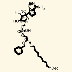 CCCCCCCCCCCCCCCCCCOC[C@@H](COP(=O)(O)OC[C@H]1O[C@@](C#N)(c2ccc3c(N)ncnn23)[C@H](O)[C@@H]1O)OCc1ccccc1